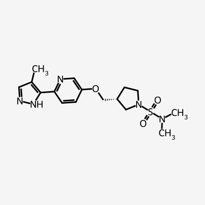 Cc1cn[nH]c1-c1ccc(OC[C@@H]2CCN(S(=O)(=O)N(C)C)C2)cn1